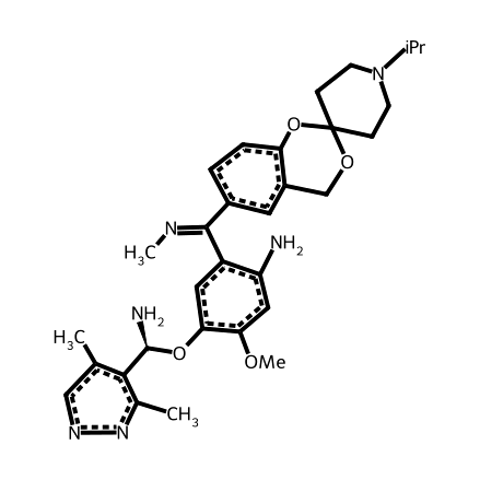 C/N=C(/c1ccc2c(c1)COC1(CCN(C(C)C)CC1)O2)c1cc(O[C@H](N)c2c(C)cnnc2C)c(OC)cc1N